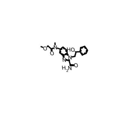 COCC(=O)N(C)c1ccc2c(c1)nc(C(N)=O)n2C[C@H](O)c1ccccc1